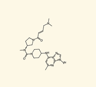 Cc1cc(NC2CCN(C(=O)N(C)[C@H]3CCN(C(=O)/C=C/CN(C)C)C3)CC2)c2ncn(C(C)C)c2n1